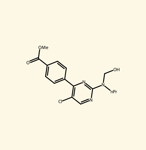 CCCN(CO)c1ncc(Cl)c(-c2ccc(C(=O)OC)cc2)n1